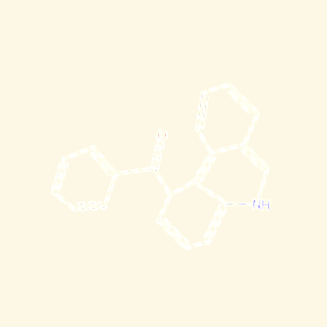 O=C(c1ccccc1)C1C=CC=C2NC=c3ccccc3=C21